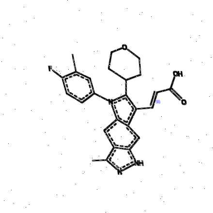 Cc1cc(-n2c(C3CCOCC3)c(/C=C/C(=O)O)c3cc4[nH]nc(C)c4cc32)ccc1F